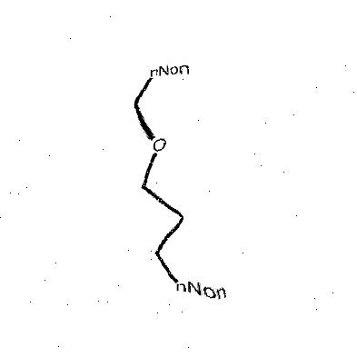 CCCCCCCCCCCCOCCCCCCCCCC